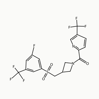 O=C(c1ccc(C(F)(F)F)cn1)N1CC(CS(=O)(=O)c2cc(F)cc(C(F)(F)F)c2)C1